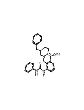 COC(=O)c1cccc(NC(=O)Nc2ccccc2)c1CN1CCCC(Cc2ccccc2)C1